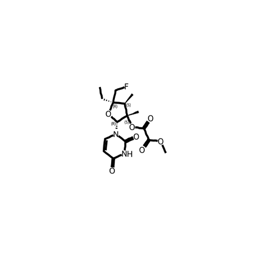 CC[C@@]1(CF)O[C@@H](n2ccc(=O)[nH]c2=O)[C@@](C)(OC(=O)C(=O)OC)[C@@H]1C